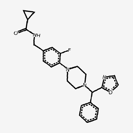 O=C(NCc1ccc(N2CCN(C(c3ccccc3)c3ncco3)CC2)c(F)c1)C1CC1